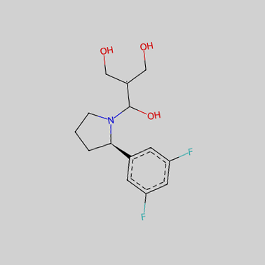 OC[C](CO)C(O)N1CCC[C@@H]1c1cc(F)cc(F)c1